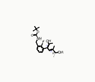 C/C(O)=C(\C=C(/C)[C@@H](C)O)c1cccc(CNC(=O)OC(C)(C)C)c1F